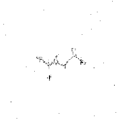 FC(F)COC(F)F